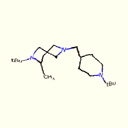 CC1N(C(C)(C)C)CC12CN(CC1CCN(C(C)(C)C)CC1)C2